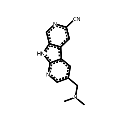 CN(C)Cc1cnc2[nH]c3cnc(C#N)cc3c2c1